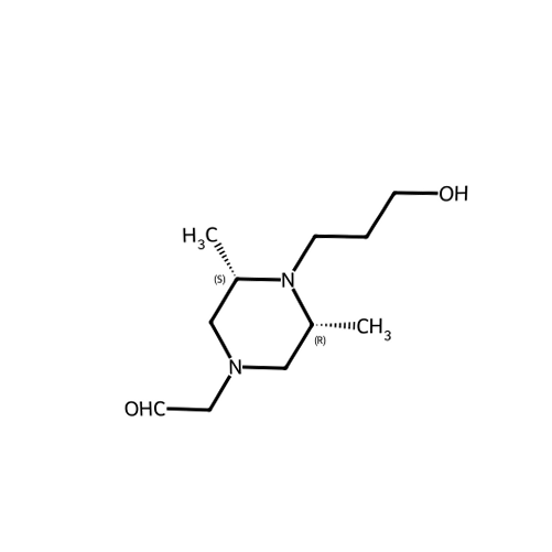 C[C@@H]1CN(CC=O)C[C@H](C)N1CCCO